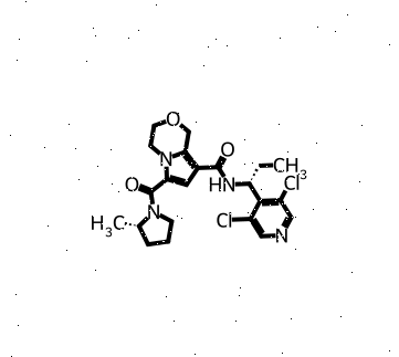 CC[C@@H](NC(=O)c1cc(C(=O)N2CCC[C@@H]2C)n2c1COCC2)c1c(Cl)cncc1Cl